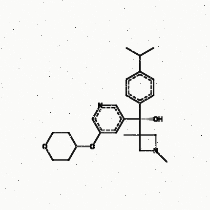 CC(C)c1ccc([C@](O)(c2cncc(OC3CCOCC3)c2)C2(C)CN(C)C2)cc1